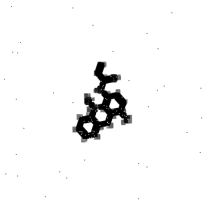 C=CC(=O)Oc1ccc(Cl)c2c1[S+]([O-])c1ccccc1C2